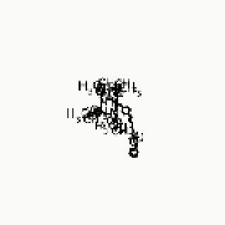 CC(C)(C)OC(=O)CN1CCN(CC(=O)OC(C)(C)C)CCN(CC(=O)OC(C)(C)C)C(Cc2ccc(C=CCCCCC(=O)OCc3ccccc3)cc2)CN(CC(=O)OC(C)(C)C)CC1